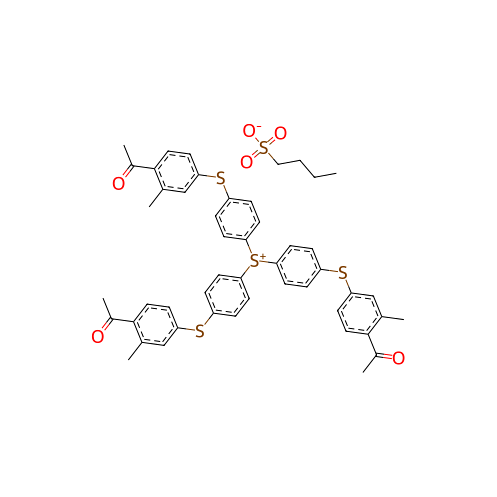 CC(=O)c1ccc(Sc2ccc([S+](c3ccc(Sc4ccc(C(C)=O)c(C)c4)cc3)c3ccc(Sc4ccc(C(C)=O)c(C)c4)cc3)cc2)cc1C.CCCCS(=O)(=O)[O-]